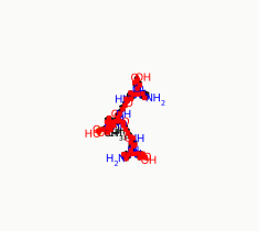 CC1=[N+](CCCS(=O)(=O)O)c2c(cc(-c3cc(C(=O)NCCCCCC(=O)NC4CCN(c5nc(C6CCC(N)CC6)nc(N6CCC(C(=O)O)CC6)n5)CC4)nc(C(=O)NCCCCCC(=O)NC4CCN(c5nc(N6CCC(N)CC6)nc(N6CCC(C(=O)O)CC6)n5)CC4)c3)c3ccccc23)C1(C)C